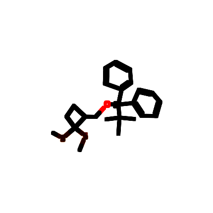 CSC1(SC)CCC1CO[Si](c1ccccc1)(c1ccccc1)C(C)(C)C